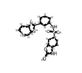 O=c1[nH]c2ccc(S(=O)(=O)Nc3cccc(-c4nc5ccncc5s4)c3)cc2o1